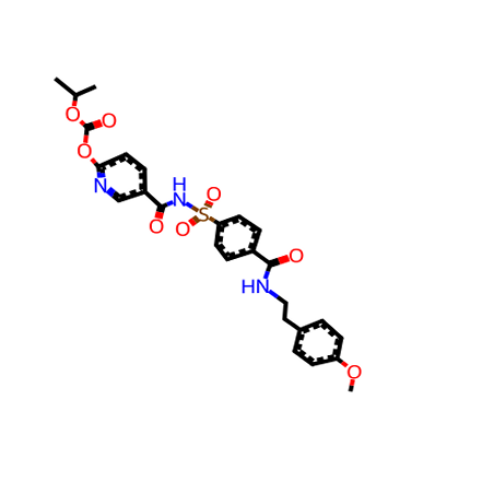 COc1ccc(CCNC(=O)c2ccc(S(=O)(=O)NC(=O)c3ccc(OC(=O)OC(C)C)nc3)cc2)cc1